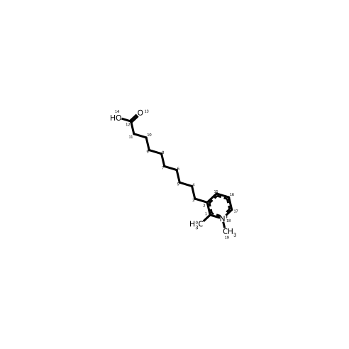 Cc1c(CCCCCCCCCC(=O)O)ccc[n+]1C